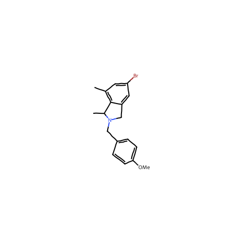 COc1ccc(CN2Cc3cc(Br)cc(C)c3C2C)cc1